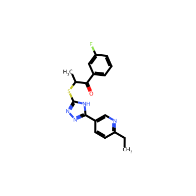 CCc1ccc(-c2nnc(SC(C)C(=O)c3cccc(F)c3)[nH]2)cn1